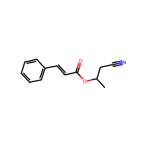 CC(CC#N)OC(=O)/C=C/c1ccccc1